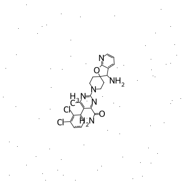 Cc1nc(N2CCC3(CC2)Oc2ncccc2C3N)nc(C(N)=O)c1-c1cccc(Cl)c1Cl